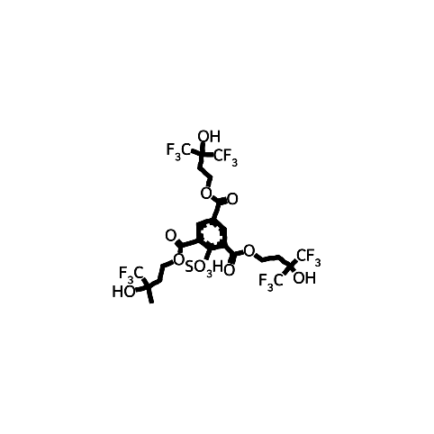 CC(O)(CCOC(=O)c1cc(C(=O)OCCC(O)(C(F)(F)F)C(F)(F)F)cc(C(=O)OCCC(O)(C(F)(F)F)C(F)(F)F)c1S(=O)(=O)O)C(F)(F)F